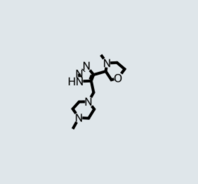 CN1CCN(Cc2[nH]nnc2C2COCCN2C)CC1